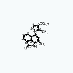 CCc1cc(-n2ncc(C(=O)O)c2C(F)(F)F)c2cccc3c2c1NC3=O